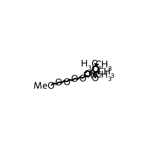 COCCOCCOCCOCCOc1ccc2c(c1)[N+]([O-])=C1C2=CC(C)(C)CC1(C)C